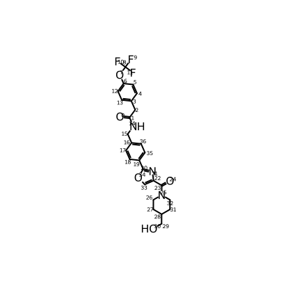 O=C(Cc1ccc(OC(F)(F)F)cc1)NCc1ccc(-c2nc(C(=O)N3CCC(CO)CC3)co2)cc1